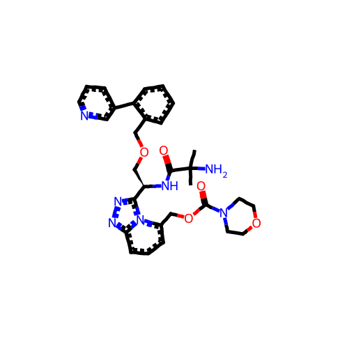 CC(C)(N)C(=O)N[C@H](COCc1ccccc1-c1cccnc1)c1nnc2cccc(COC(=O)N3CCOCC3)n12